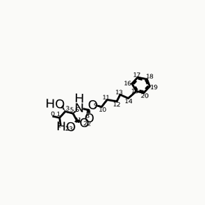 CC(C)[C@H](O)[C@@H](NC(=O)OCCCCCc1ccccc1)C(=O)O